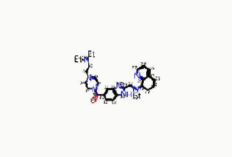 CCN(CC)CCN1CCN(C(=O)c2ccc3[nH]c(CN(CC)C4CCCc5cccnc54)nc3c2)CC1